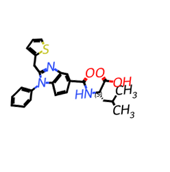 CC(C)C[C@H](NC(=O)c1ccc2c(c1)nc(Cc1cccs1)n2-c1ccccc1)C(=O)O